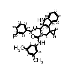 Cc1cc(C)cc(NC(=O)N2CC3(CC3)c3c([nH]c4ccccc34)C2OCc2cccc(F)c2)c1